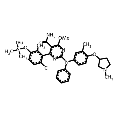 COc1nc(N(c2ccccc2)c2ccc(OC3CCN(C)C3)c(C)c2)nc(-c2c(Cl)ccc(O[Si](C)(C)C(C)(C)C)c2C)c1C(N)=O